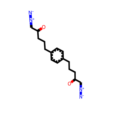 [N-]=[N+]=CC(=O)CCCc1ccc(CCCC(=O)C=[N+]=[N-])cc1